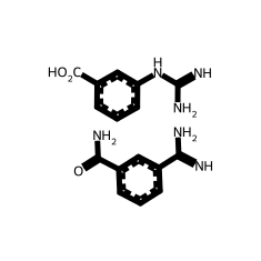 N=C(N)Nc1cccc(C(=O)O)c1.N=C(N)c1cccc(C(N)=O)c1